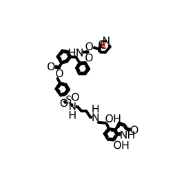 O=C(NC(c1ccccc1)c1cccc(C(=O)OCc2ccc(S(=O)(=O)NCCCCNCC(O)c3ccc(O)c4[nH]c(=O)ccc34)cc2)c1)OC1CN2CCC1CC2